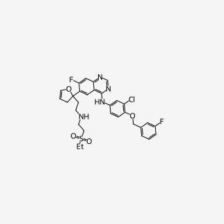 CCS(=O)(=O)CCNCCC1(c2cc3c(Nc4ccc(OCc5cccc(F)c5)c(Cl)c4)ncnc3cc2F)CC=CO1